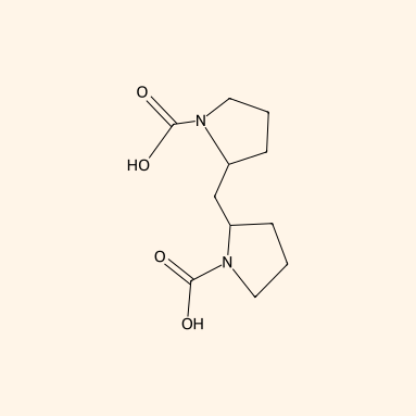 O=C(O)N1CCCC1CC1CCCN1C(=O)O